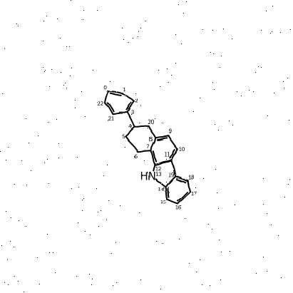 c1ccc(C2CCc3c(ccc4c3[nH]c3ccccc34)C2)cc1